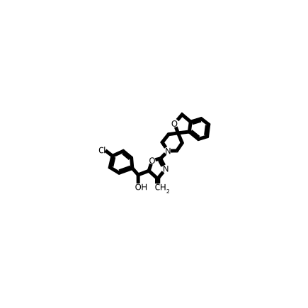 C=C1N=C(N2CCC3(CC2)OCc2ccccc23)OC1C(O)c1ccc(Cl)cc1